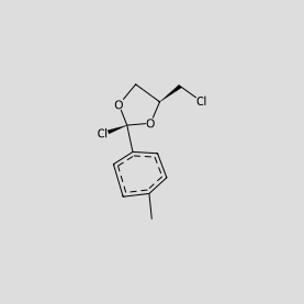 Cc1ccc([C@]2(Cl)OC[C@@H](CCl)O2)cc1